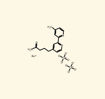 Cc1ccnc(-c2cc(CCCC(N)=O)ccn2)c1.[O-][Cl+3]([O-])([O-])[O-].[O-][Cl+3]([O-])([O-])[O-].[Ru+2]